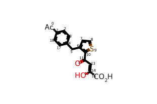 CC(=O)c1ccc(Cc2ccsc2C(=O)/C=C(\O)C(=O)O)cc1